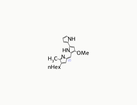 CCCCCCC1=C/C(=C/c2[nH]c(-c3ccc[nH]3)cc2OC)N=C1C